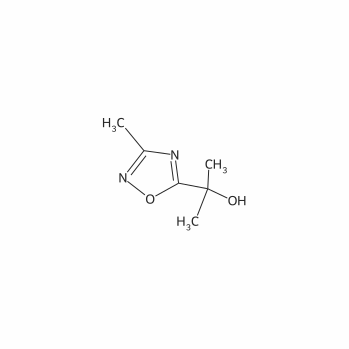 Cc1noc(C(C)(C)O)n1